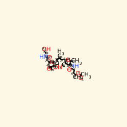 CC(=O)OC(C)C=CC(=O)N[C@@H]1C[C@H](C)[C@H](CC=C(C)C=C[C@H]2O[C@H](CC(=O)NCCO)C[C@@]3(CO3)[C@@H]2O)O[C@@H]1C